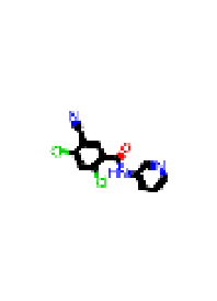 N#Cc1cc(C(=O)Nc2cccnc2)c(Cl)cc1Cl